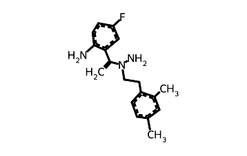 C=C(c1cc(F)ccc1N)N(N)CCc1ccc(C)cc1C